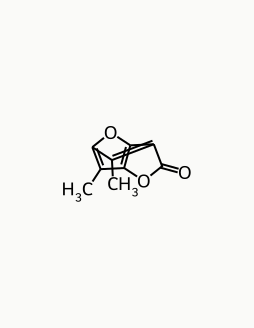 Cc1c2c3oc1c(C)c3C(=O)O2